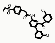 CCS(=O)(=O)c1ccc(CC(=O)Nc2ccc(-c3cccc(Cl)c3)c(C(=O)c3cccc(Cl)c3)n2)cc1